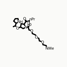 CCCNC(=O)C1CC(OC(C)C2CCCN2)CN1C(=O)COCCOCCOCCNC